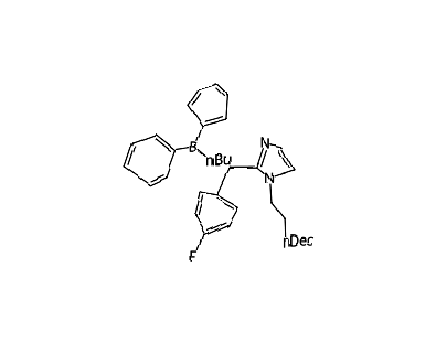 CCCCB(c1ccccc1)c1ccccc1.CCCCCCCCCCCCn1ccnc1Cc1ccc(F)cc1